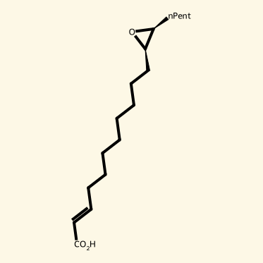 CCCCC[C@@H]1O[C@@H]1CCCCCCCC/C=C/C(=O)O